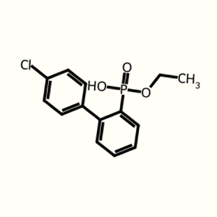 CCOP(=O)(O)c1ccccc1-c1ccc(Cl)cc1